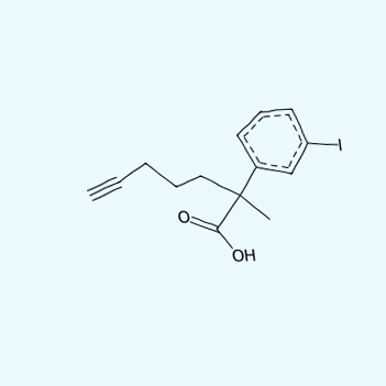 C#CCCCC(C)(C(=O)O)c1cccc(I)c1